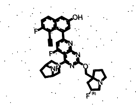 C#Cc1c(F)ccc2cc(O)cc(-c3cc(F)c4c(N5CC6CCC(C5)N6)nc(OCC56CCCN5C[C@H](F)C6)nc4n3)c12